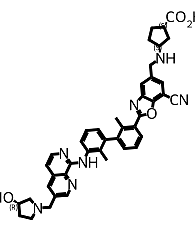 Cc1c(Nc2nccc3cc(CN4CC[C@@H](O)C4)cnc23)cccc1-c1cccc(-c2nc3cc(CN[C@H]4CC[C@H](C(=O)O)C4)cc(C#N)c3o2)c1C